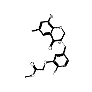 COC(=O)COc1cc(C[C@H]2COc3c(Br)cc(C)cc3C2=O)ccc1F